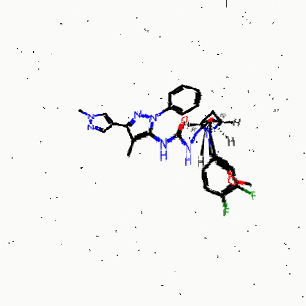 COCCN1[C@@H]2C[C@H]1[C@@H](c1ccc(F)c(F)c1)[C@@H]2NC(=O)Nc1c(C)c(-c2cnn(C)c2)nn1-c1ccccc1